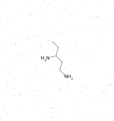 [CH2]CC(N)CCN